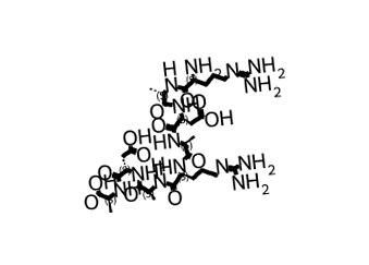 C[C@H](NC(=O)[C@H](CC(=O)O)NC(=O)[C@H](C)NC(=O)[C@H](CCCN=C(N)N)NC(=O)[C@H](C)NC(=O)[C@H](CC(=O)O)NC(=O)[C@H](C)NC(=O)[C@@H](N)CCCN=C(N)N)C(=O)O